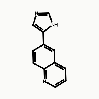 c1cnc2ccc(-c3cnc[nH]3)cc2c1